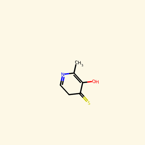 CC1=C(O)C(=S)CC=N1